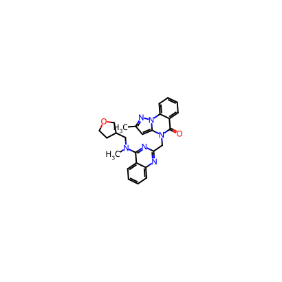 Cc1cc2n(Cc3nc(N(C)CC4CCOC4)c4ccccc4n3)c(=O)c3ccccc3n2n1